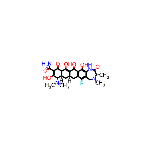 C[C@H]1C(=O)Nc2c(O)c3c(c(F)c2CN1C)C[C@H]1C[C@@H]2C(C(=O)C(C(N)=O)=C(O)[C@H]2N(C)C)C(O)=C1C3=O